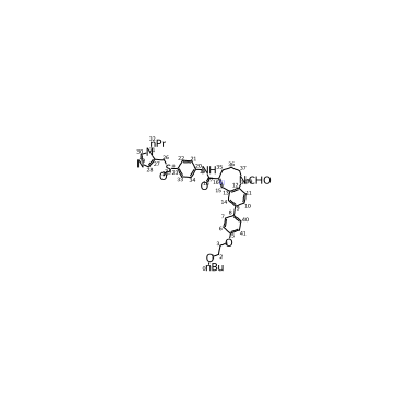 CCCCOCCOc1ccc(-c2ccc3c(c2)/C=C(/C(=O)Nc2ccc([S+]([O-])Cc4cncn4CCC)cc2)CCCN3C=O)cc1